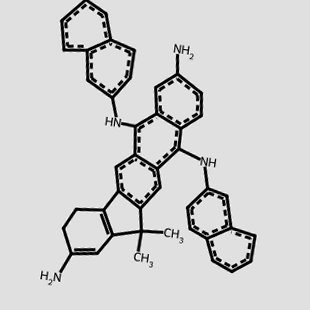 CC1(C)C2=C(CCC(N)=C2)c2cc3c(Nc4ccc5ccccc5c4)c4cc(N)ccc4c(Nc4ccc5ccccc5c4)c3cc21